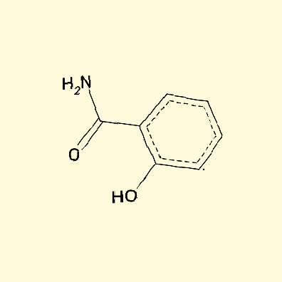 NC(=O)c1ccc[c]c1O